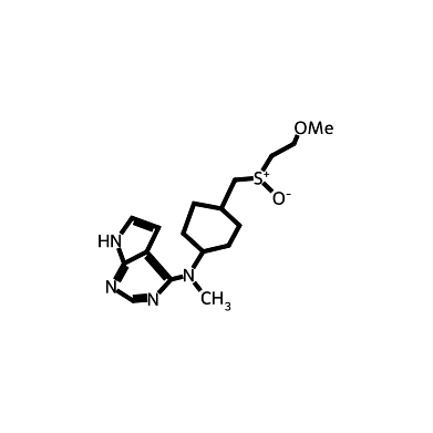 COCC[S+]([O-])CC1CCC(N(C)c2ncnc3[nH]ccc23)CC1